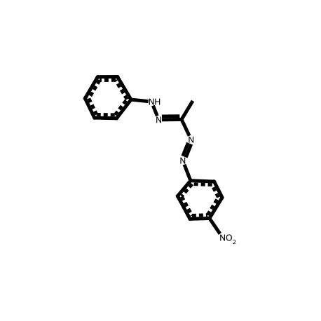 CC(N=Nc1ccc([N+](=O)[O-])cc1)=NNc1ccccc1